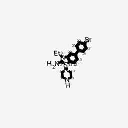 CCN1C(N)=S(N2CCNCC2)c2ccc(-c3ccc(Br)cc3)[c]c21